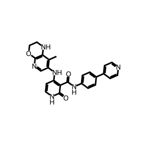 Cc1c(Nc2cc[nH]c(=O)c2C(=O)Nc2ccc(-c3ccncc3)cc2)cnc2c1NCCO2